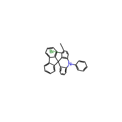 Cc1ccc2c(c1Br)C1(c3ccccc3-c3ccccc31)c1ccccc1N2c1ccccc1